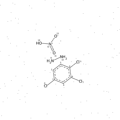 Clc1ccc(Cl)c(Cl)c1.NN.O=[N+]([O-])O